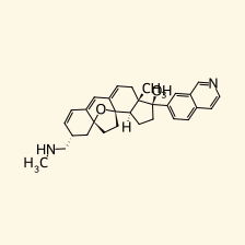 CNC[C@@H]1C=CC2=CC3=CC[C@@]4(C)[C@@H](CC[C@@]4(O)c4ccc5ccncc5c4)[C@@]34CC[C@]2(C1)O4